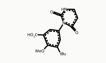 COc1c(C(=O)O)cc(-n2c(=O)cc[nH]c2=O)cc1C(C)(C)C